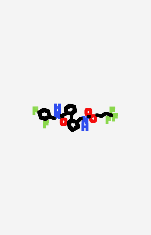 O=C(NCc1ccccc1-c1ccccc1C(=O)NCc1ccc(F)cc1F)OCCCC(F)(F)F